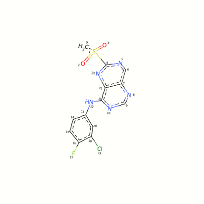 CS(=O)(=O)c1ncc2ncnc(Nc3ccc(F)c(Cl)c3)c2n1